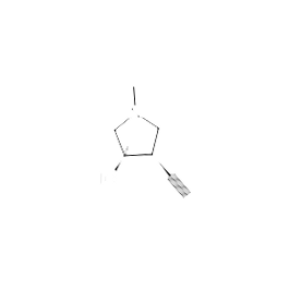 C#C[C@@H]1CN(C)C[C@@H]1O